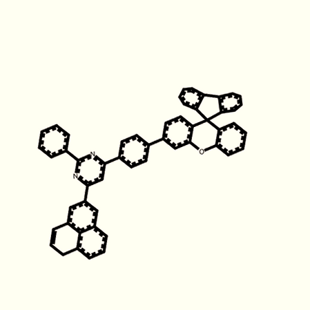 C1=Cc2cc(-c3cc(-c4ccc(-c5ccc6c(c5)Oc5ccccc5C65c6ccccc6-c6ccccc65)cc4)nc(-c4ccccc4)n3)cc3cccc(c23)C1